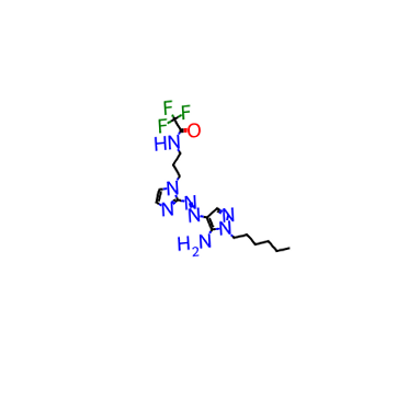 CCCCCCn1ncc(/N=N/c2nccn2CCCNC(=O)C(F)(F)F)c1N